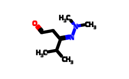 CC(C)/C(CC=O)=N/N(C)C